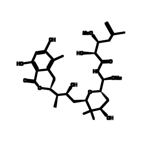 C=C(C)C[C@H](OC)[C@H](O)C(=O)N[C@@H](OC)[C@@H]1C[C@@H](O)C(C)(C)[C@@H](C[C@H](O)[C@@H](C)[C@H]2Cc3c(C)c(O)cc(O)c3C(=O)O2)O1